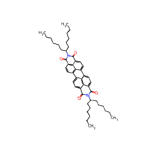 CCCCCCC(CCCCCC)N1C(=O)c2ccc3c4ccc5c6c(ccc(c7ccc(c2c37)C1=O)c64)C(=O)N(C(CCCCCC)CCCCCC)C5=O